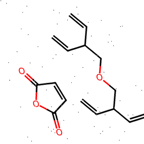 C=CC(C=C)COCC(C=C)C=C.O=C1C=CC(=O)O1